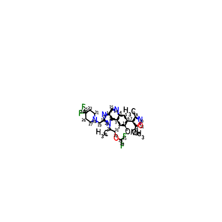 COc1cc2c(cc1-c1c(C)noc1C)ncc1nc(CN3CCC(F)(F)CC3)n([C@H](C)COC(F)F)c12